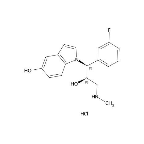 CNC[C@@H](O)[C@H](c1cccc(F)c1)n1ccc2cc(O)ccc21.Cl